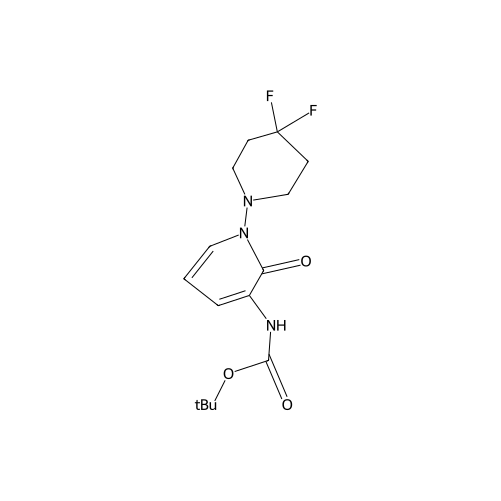 CC(C)(C)OC(=O)Nc1cccn(N2CCC(F)(F)CC2)c1=O